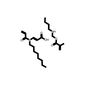 C=C(C)C(=O)OCNCCCC.C=CC(=O)N(C=CC(=O)O)CCCCCCCC